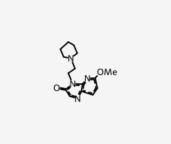 COc1ccc2ncc(=O)n(CCN3CCCCC3)c2n1